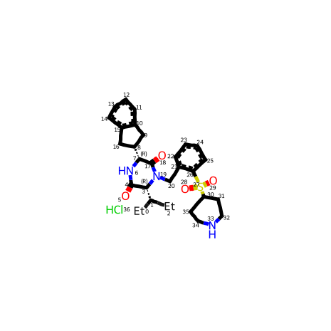 CCC(CC)[C@@H]1C(=O)N[C@H](C2Cc3ccccc3C2)C(=O)N1Cc1ccccc1S(=O)(=O)C1CCNCC1.Cl